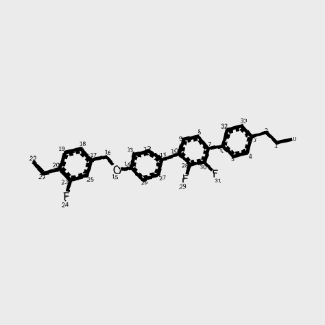 CCCc1ccc(-c2ccc(-c3ccc(OCc4ccc(CC)c(F)c4)cc3)c(F)c2F)cc1